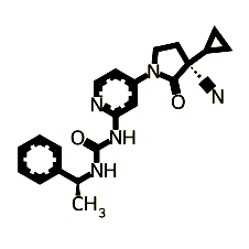 C[C@H](NC(=O)Nc1cc(N2CC[C@@](C#N)(C3CC3)C2=O)ccn1)c1ccccc1